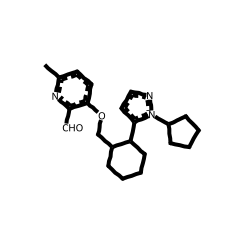 Cc1ccc(OCC2CCCCC2c2ccnn2C2CCCC2)c(C=O)n1